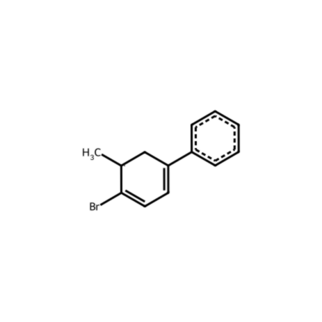 C[C]1CC(c2ccccc2)=CC=C1Br